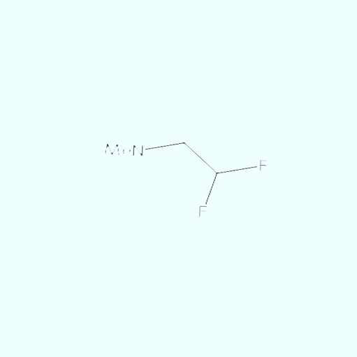 [CH2]NCC(F)F